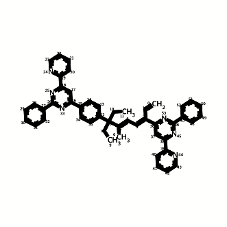 C=C/C(=C\C=C(/C)C(CC)(CC)c1ccc(-c2cc(-c3ccccn3)nc(-c3ccccc3)n2)cc1)c1cc(-c2ccccn2)nc(-c2ccccc2)n1